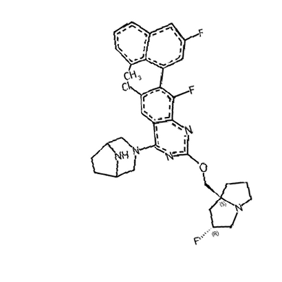 Cc1cccc2cc(F)cc(-c3c(Cl)cc4c(N5CC6CCC(C5)N6)nc(OC[C@@]56CCCN5C[C@H](F)C6)nc4c3F)c12